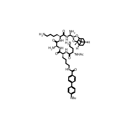 CCCCc1ccc(-c2ccc(C(=O)NCCCC[C@H](NC(=O)[C@H](CCN)NC(C)=O)C(=O)N[C@@H](N)C(=O)N[C@@H](CCCCN)C(=O)N[C@@H](N)B3OC4C[C@@H]5C[C@@H](C5(C)C)[C@]4(C)O3)cc2)cc1